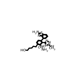 CPn1nnc(-c2c(-c3cccc4sc(N)nc34)ccc(CCCCCO)c2S(N)(=O)=O)n1